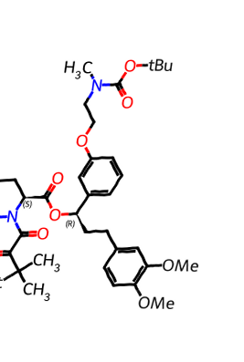 CCC(C)(C)C(=O)C(=O)N1CCCC[C@H]1C(=O)O[C@H](CCc1ccc(OC)c(OC)c1)c1cccc(OCCN(C)C(=O)OC(C)(C)C)c1